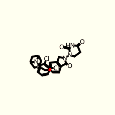 O=C1CCN(N2Cc3cc(CN4CC5CC(C4)N5c4cccc(Cl)c4Cl)ccc3C2=O)C(=O)N1